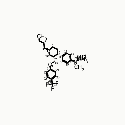 CCCCN1CC[C@H](c2ccc(N(C)C)cc2)[C@@H](COc2ccc(C(F)(F)F)cc2)C1.Cl.Cl